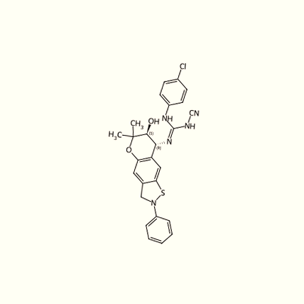 CC1(C)Oc2cc3c(cc2[C@@H](N=C(NC#N)Nc2ccc(Cl)cc2)[C@@H]1O)SN(c1ccccc1)C3